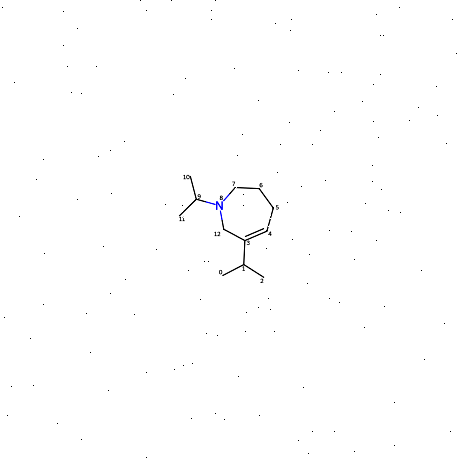 CC(C)C1=CCCCN(C(C)C)C1